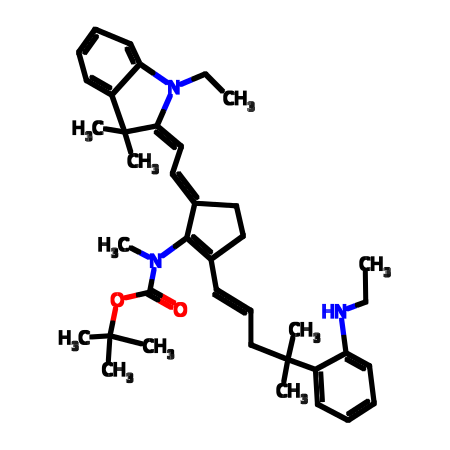 CCNc1ccccc1C(C)(C)C/C=C/C1=C(N(C)C(=O)OC(C)(C)C)C(=C/C=C2/N(CC)c3ccccc3C2(C)C)/CC1